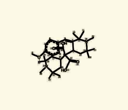 COc1ccc(C=C2C(C(C(=O)O)(C(=O)O)C3CC(C)(C)N(C)C(C)(C)C3)CC(C)(C)N(C)C2(C)C)cc1